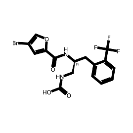 O=C(O)NC[C@H](Cc1ccccc1C(F)(F)F)NC(=O)c1cc(Br)co1